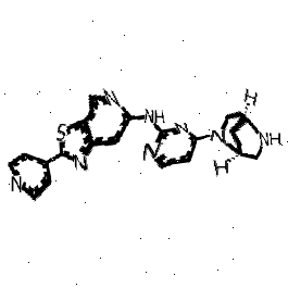 c1cc(-c2nc3cc(Nc4nccc(N5C[C@@H]6C[C@H]5CN6)n4)ncc3s2)ccn1